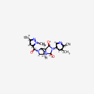 Cc1cc(N2C(=O)[C@@H]3C4C[C@H](CN4C(=O)c4cc(C(C)(C)C)nn4C)N3C2=O)cnc1C#N